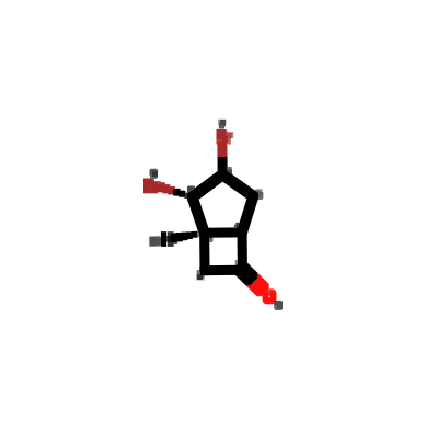 O=C1C[C@@H]2C1CC(Br)[C@H]2Br